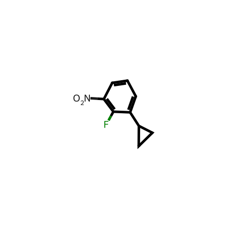 O=[N+]([O-])c1cccc(C2CC2)c1F